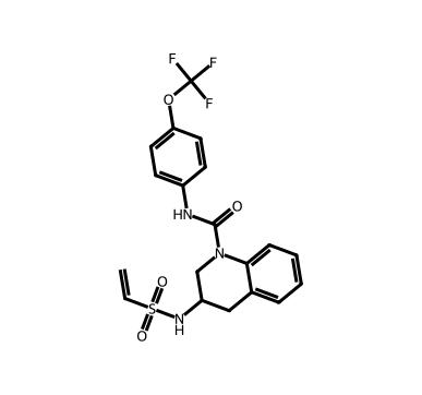 C=CS(=O)(=O)NC1Cc2ccccc2N(C(=O)Nc2ccc(OC(F)(F)F)cc2)C1